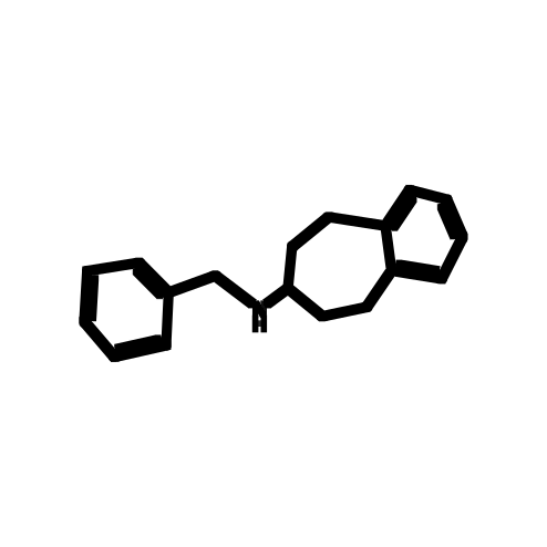 c1ccc(CNC2CCc3ccccc3CC2)cc1